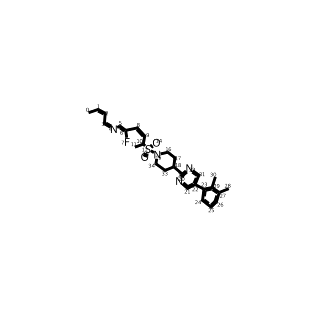 C\C=C/C=N\C=C(F)\C=C/C(C)S(=O)(=O)N1CCC(c2ncc(-c3cccc(C)c3C)cn2)CC1